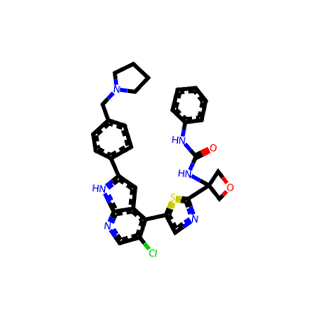 O=C(Nc1ccccc1)NC1(c2ncc(-c3c(Cl)cnc4[nH]c(-c5ccc(CN6CCCC6)cc5)cc34)s2)COC1